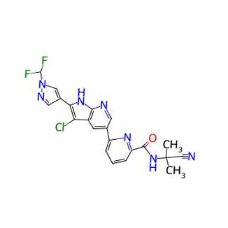 CC(C)(C#N)NC(=O)c1cccc(-c2cnc3[nH]c(-c4cnn(C(F)F)c4)c(Cl)c3c2)n1